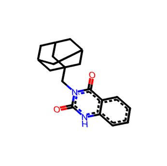 O=c1[nH]c2ccccc2c(=O)n1CC12CC3CC(CC(C3)C1)C2